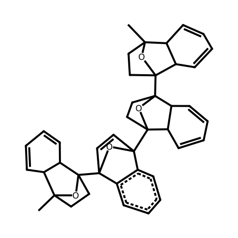 CC12CCC(C34C=CC(C56CCC(C78CCC(C)(O7)C7C=CC=CC78)(O5)C5C=CC=CC56)(O3)c3ccccc34)(O1)C1C=CC=CC12